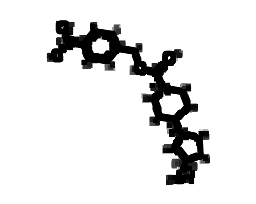 O=C(OCc1ccc([N+](=O)[O-])cc1)N1CCC(N2CC[C@@H](S)C2)CC1